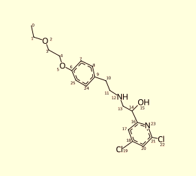 CCOCCOc1ccc(CCNCC(O)c2cc(Cl)cc(Cl)n2)cc1